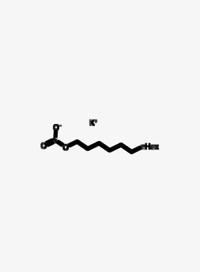 CCCCCCCCCCCCOS(=O)[O-].[K+]